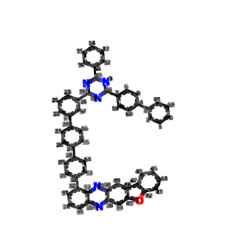 c1ccc(-c2ccc(-c3nc(-c4ccccc4)nc(-c4cccc(-c5ccc(-c6ccc(-c7cccc8nc9cc%10oc%11ccccc%11c%10cc9nc78)cc6)cc5)c4)n3)cc2)cc1